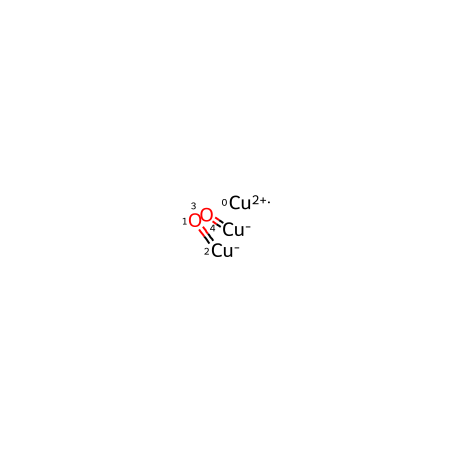 [Cu+2].[O]=[Cu-].[O]=[Cu-]